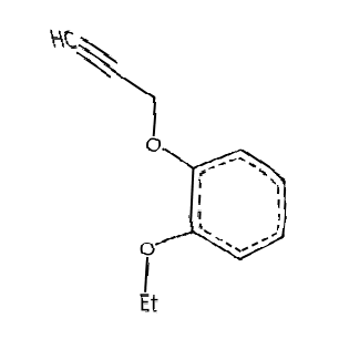 C#CCOc1ccccc1OCC